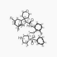 C[C@H]1CNC[C@H](CCc2c(F)cccc2NC(=O)[C@@H](N)C2(C3C=C(F)C=C(F)C3)CCOCC2)N1S(=O)(=O)c1ccccc1